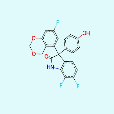 O=C1Nc2c(ccc(F)c2F)C1(c1ccc(O)cc1)c1cc(F)cc2c1COCO2